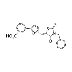 O=C(O)c1cccc(-c2ccc(/C=C3\SC(=S)N(Cc4ccccc4)C3=O)o2)c1